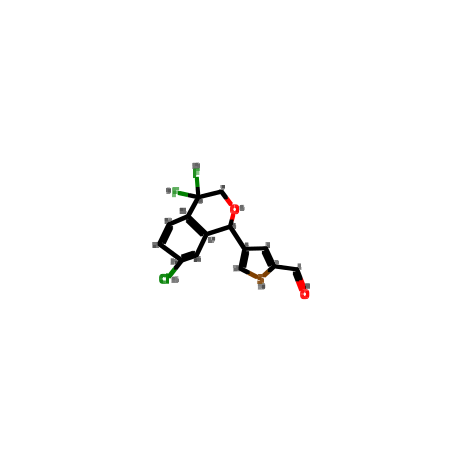 O=Cc1cc(C2OCC(F)(F)c3ccc(Cl)cc32)cs1